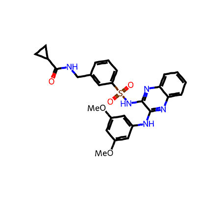 COc1cc(Nc2nc3ccccc3nc2NS(=O)(=O)c2cccc(CNC(=O)C3CC3)c2)cc(OC)c1